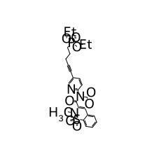 CCOP(=O)(CCCC#Cc1ccc(-n2c(=O)oc3c(c2=O)N(C)S(=O)(=O)c2ccccc2-3)nc1)OCC